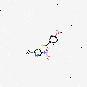 COc1ccc(CSc2cc(C3CC3)ncc2[N+](=O)[O-])cc1